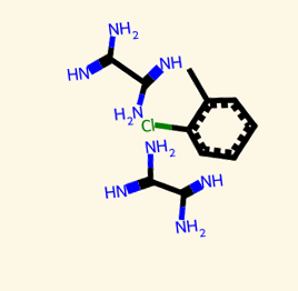 Cc1ccccc1Cl.N=C(N)C(=N)N.N=C(N)C(=N)N